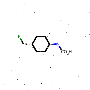 O=C(O)N[C@H]1CC[C@H](CF)CC1